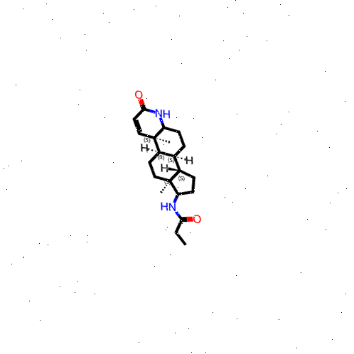 CCC(=O)NC1CC[C@H]2[C@@H]3CCC4NC(=O)C=C[C@]4(C)[C@@H]3CC[C@]12C